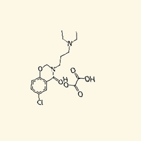 CCN(CC)CCCN1COc2ccc(Cl)cc2C1=O.O=C(O)C(=O)O